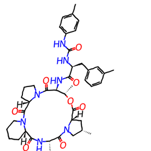 Cc1ccc(NC(=O)N[C@@H](Cc2cccc(C)c2)C(=O)N[C@@H]2C(=O)N3CCC[C@H]3C(=O)N3CCCC[C@H]3C(=O)N[C@@H](C)C(=O)N3C[C@@H](C)C[C@H]3C(=O)O[C@H]2C)cc1